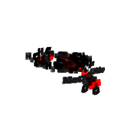 C=C=C(C)C[C@H](CC[C@@H]1O[C@@H](CCC(=O)/C=C/[C@H](O[Si](C)(C)C(C)(C)C)[C@@H]2O[C@H]3CC[C@H](CC(=O)C[C@@H]4[C@@H](OC)[C@@H](C[C@H](COC(=O)c5ccccc5)OC(=O)c5ccccc5)O[C@H]4CC(OC)OC)O[C@@H]3[C@H](O[Si](C)(C)C(C)(C)C)[C@@H]2O[Si](C)(C)C(C)(C)C)CC1=C)O[Si](CC)(CC)CC